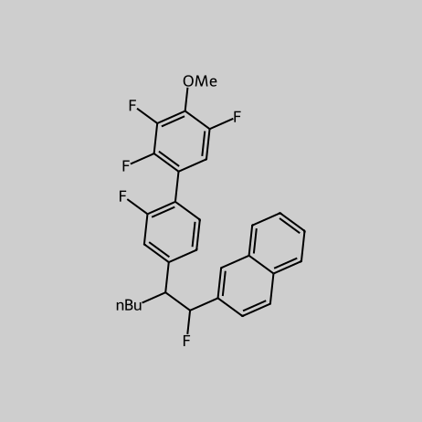 CCCCC(c1ccc(-c2cc(F)c(OC)c(F)c2F)c(F)c1)C(F)c1ccc2ccccc2c1